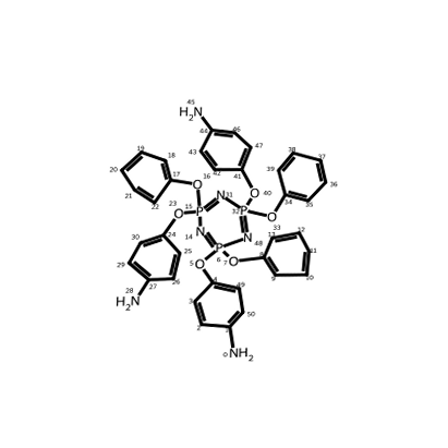 Nc1ccc(OP2(Oc3ccccc3)=NP(Oc3ccccc3)(Oc3ccc(N)cc3)=NP(Oc3ccccc3)(Oc3ccc(N)cc3)=N2)cc1